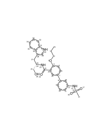 CCCOc1ccc(-c2cccc(NS(C)(=O)=O)c2)cc1C(=O)N[C@H](CO)Cc1c[nH]c2ccccc12